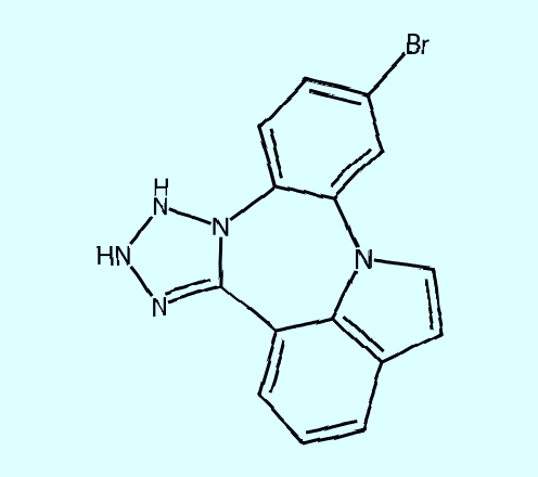 Brc1ccc2c(c1)n1ccc3cccc(c31)c1n[nH][nH]n21